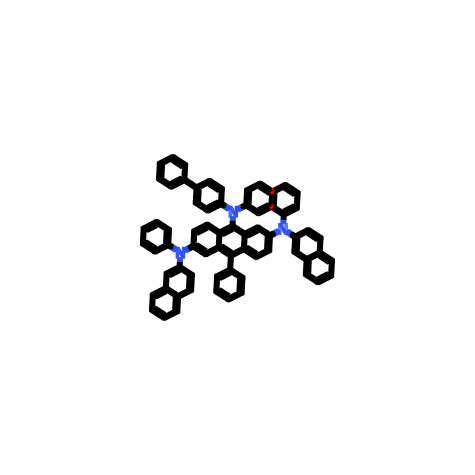 c1ccc(-c2ccc(N(c3ccccc3)c3c4ccc(N(c5ccccc5)c5ccc6ccccc6c5)cc4c(-c4ccccc4)c4ccc(N(c5ccccc5)c5ccc6ccccc6c5)cc34)cc2)cc1